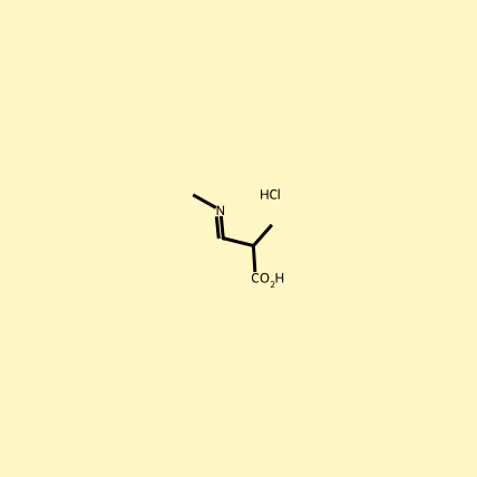 CN=CC(C)C(=O)O.Cl